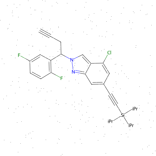 C#CCC(c1cc(F)ccc1F)n1cc2c(Cl)cc(C#C[Si](C(C)C)(C(C)C)C(C)C)cc2n1